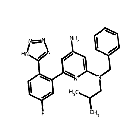 CC(C)CN(Cc1ccccc1)c1cc(N)cc(-c2cc(F)ccc2-c2nnn[nH]2)n1